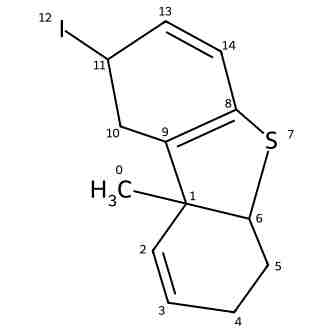 CC12C=CCCC1SC1=C2CC(I)C=C1